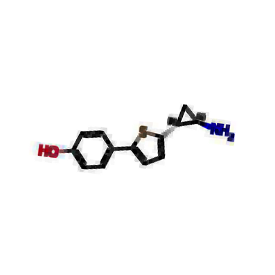 N[C@@H]1C[C@H]1c1ccc(-c2ccc(O)cc2)s1